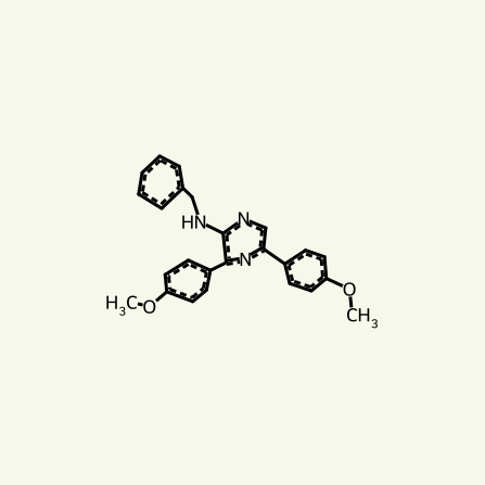 COc1ccc(-c2cnc(NCc3ccccc3)c(-c3ccc(OC)cc3)n2)cc1